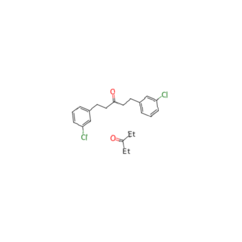 CCC(=O)CC.O=C(CCc1cccc(Cl)c1)CCc1cccc(Cl)c1